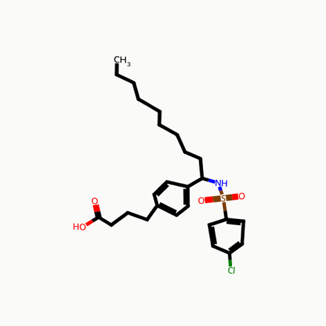 CCCCCCCCCC(NS(=O)(=O)c1ccc(Cl)cc1)c1ccc(CCCC(=O)O)cc1